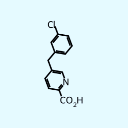 O=C(O)c1ccc(Cc2cccc(Cl)c2)cn1